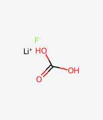 O=C(O)O.[F-].[Li+]